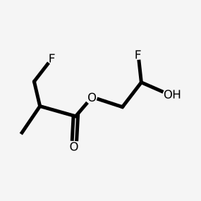 CC(CF)C(=O)OCC(O)F